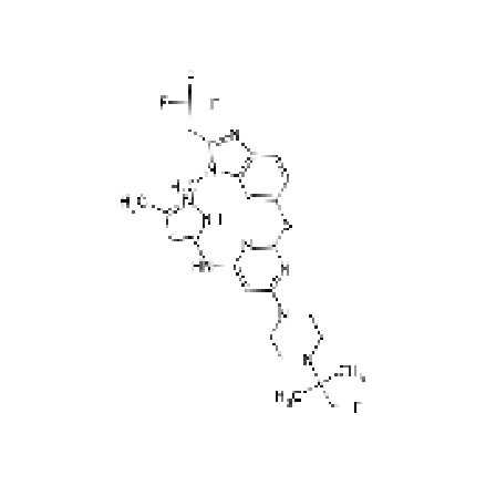 Cc1cc(Nc2cc(N3CCN(C(C)(C)CF)CC3)nc(Sc3ccc4nc(CC(F)(F)F)n(C)c4c3)n2)[nH]n1